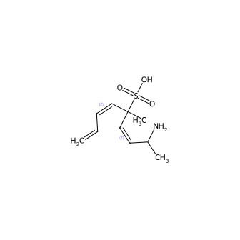 C=C/C=C\C(C)(/C=C\C(C)N)S(=O)(=O)O